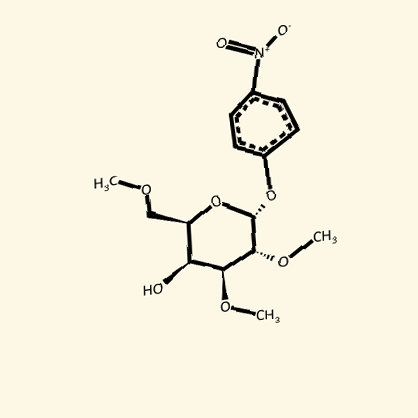 COC[C@H]1O[C@H](Oc2ccc([N+](=O)[O-])cc2)[C@H](OC)[C@@H](OC)[C@H]1O